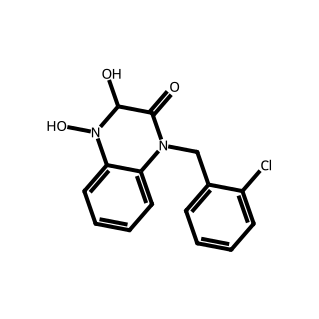 O=C1C(O)N(O)c2ccccc2N1Cc1ccccc1Cl